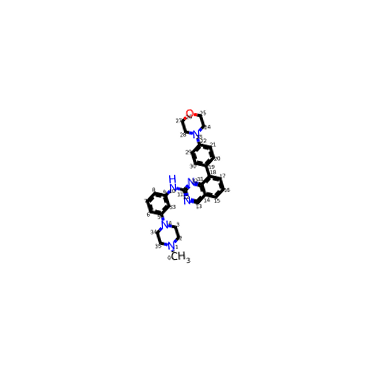 CN1CCN(c2cccc(Nc3ncc4cccc(-c5ccc(N6CCOCC6)cc5)c4n3)c2)CC1